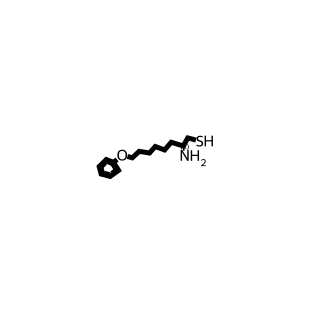 N[C@@H](CS)CCCCCCOc1ccccc1